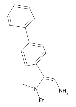 CCN(C)/C(=C\N)c1ccc(-c2ccccc2)cc1